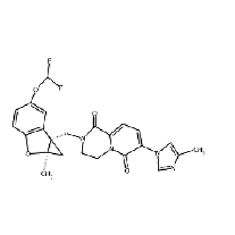 Cc1cn(-c2ccc3n(c2=O)CCN(C[C@]24C[C@@]2(C)Oc2ccc(OC(F)F)cc24)C3=O)cn1